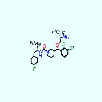 CNC[C@H](C[C@H]1CC[C@H](F)CC1)NC(=O)N1CCC[C@@H]([C@@H](OCCNC(=O)O)c2cccc(Cl)c2F)C1